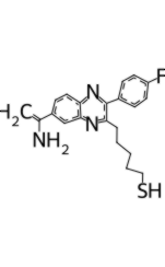 C=C(N)c1ccc2nc(-c3ccc(F)cc3)c(CCCCCS)nc2c1